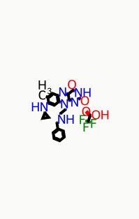 Cc1cc2nc3c(=O)[nH]c(=O)nc-3n(CCNCc3ccccc3)c2cc1NC1CC1.O=C(O)C(F)(F)F